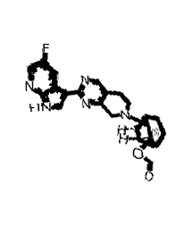 O=CO[C@H]1C2CCC(CC2)[C@@H]1N1CCc2cnc(-c3c[nH]c4ncc(F)cc34)nc2C1